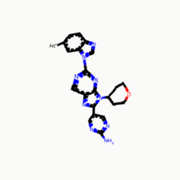 N#Cc1ccc2ncn(-c3ncc4nc(-c5cnc(N)nc5)n(C5CCOCC5)c4n3)c2c1